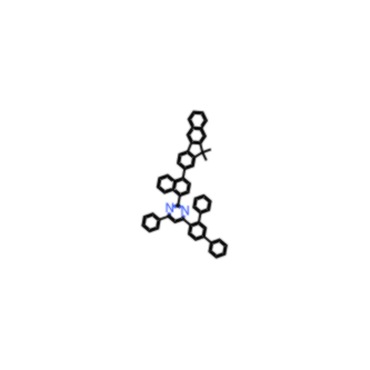 CC1(C)c2cc(-c3ccc(-c4nc(-c5ccccc5)cc(-c5ccc(-c6ccccc6)cc5-c5ccccc5)n4)c4ccccc34)ccc2-c2cc3ccccc3cc21